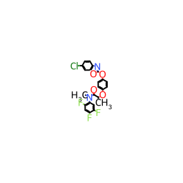 CC(Oc1ccc(Oc2nc3ccc(Cl)cc3o2)cc1)C(=O)N(C)c1cc(F)c(F)cc1F